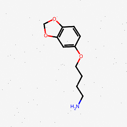 NCCCCOc1ccc2c(c1)OCO2